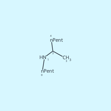 CCCCCNC(C)CCCCC